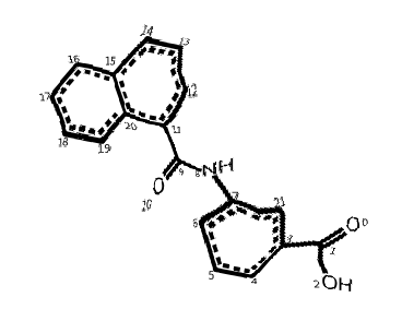 O=C(O)c1cccc(NC(=O)c2cccc3ccccc23)c1